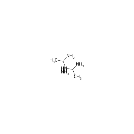 CC(N)NC(C)N.N